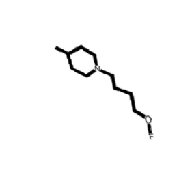 CC1CCN(CCCCOF)CC1